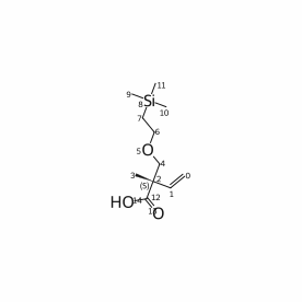 C=C[C@@](C)(COCC[Si](C)(C)C)C(=O)O